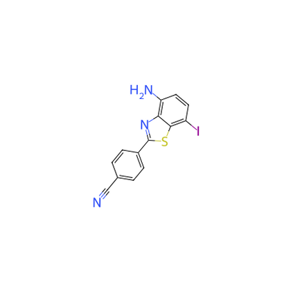 N#Cc1ccc(-c2nc3c(N)ccc(I)c3s2)cc1